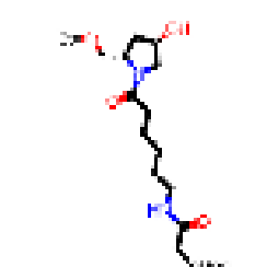 CCCCCCCCCCCC(=O)NCCCCCC(=O)N1C[C@H](O)C[C@H]1COCC